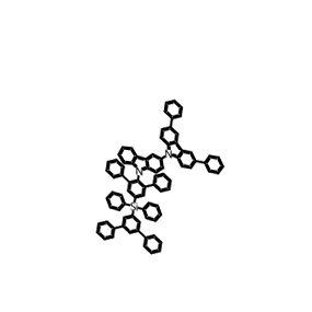 c1ccc(-c2cc(-c3ccccc3)cc([Si](c3ccccc3)(c3ccccc3)c3cc(-c4ccccc4)c(-n4c5ccccc5c5cc(-n6c7ccc(-c8ccccc8)cc7c7cc(-c8ccccc8)ccc76)ccc54)c(-c4ccccc4)c3)c2)cc1